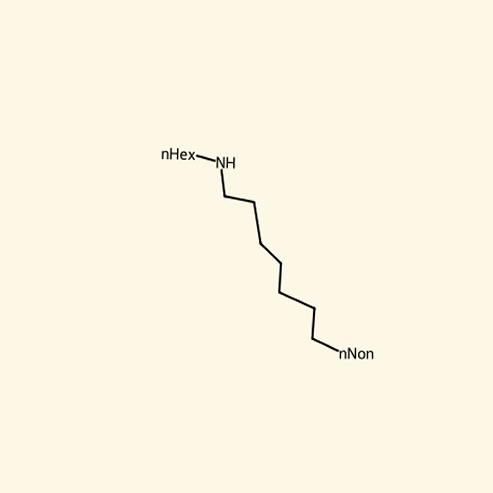 CCCCCCCCCCCCCCCCNCCCCCC